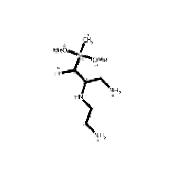 CCC(C(CN)NCCN)[Si](C)(OC)OC